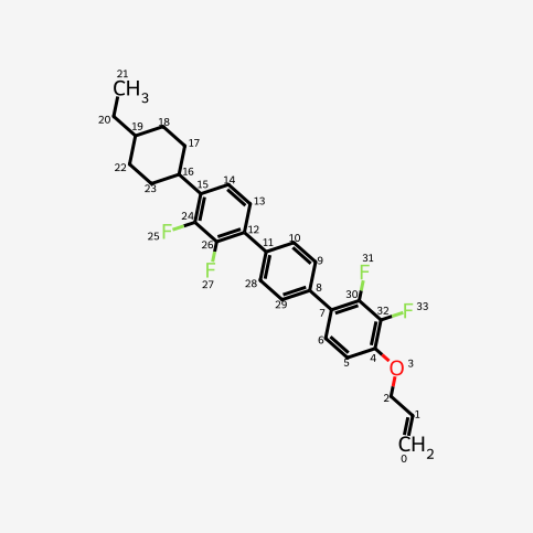 C=CCOc1ccc(-c2ccc(-c3ccc(C4CCC(CC)CC4)c(F)c3F)cc2)c(F)c1F